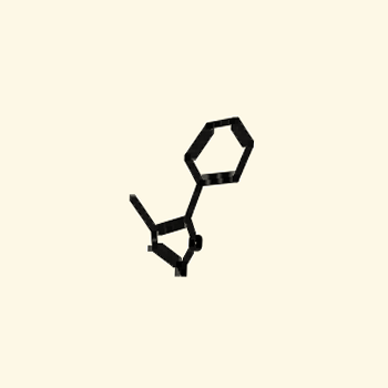 Cc1[c]noc1-c1ccccc1